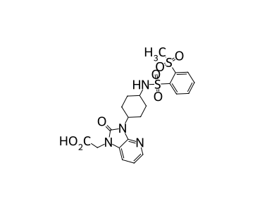 CS(=O)(=O)c1ccccc1S(=O)(=O)NC1CCC(n2c(=O)n(CC(=O)O)c3cccnc32)CC1